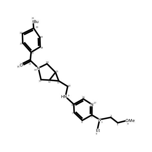 CCN(CCOC)c1ccc(NCC2C3CN(C(=O)c4ccc(C(C)(C)C)cc4)CC23)cn1